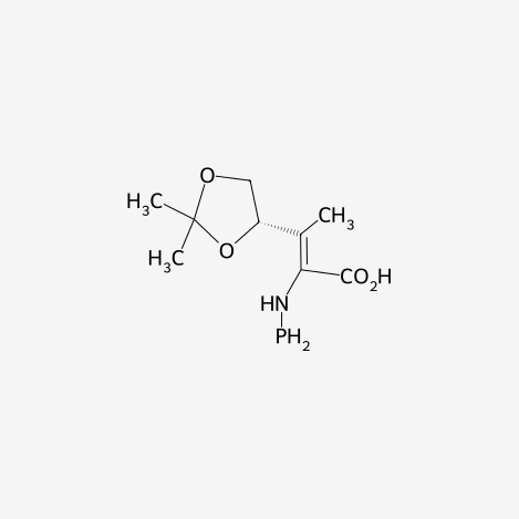 C/C(=C(/NP)C(=O)O)[C@H]1COC(C)(C)O1